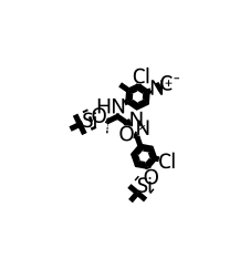 [C-]#[N+]c1ccc(N[C@@H](c2nnc(-c3ccc(O[Si](C)(C)C(C)(C)C)c(Cl)c3)o2)[C@H](C)O[Si](C)(C)C(C)(C)C)c(C)c1Cl